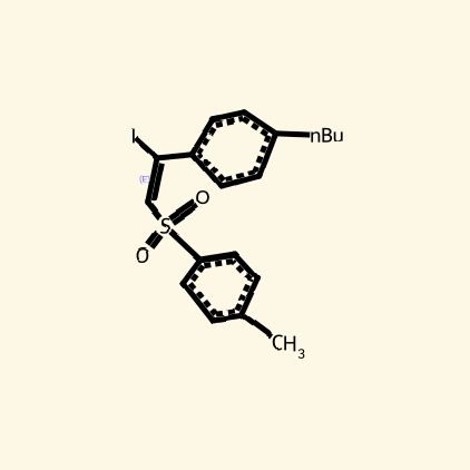 CCCCc1ccc(/C(I)=C\S(=O)(=O)c2ccc(C)cc2)cc1